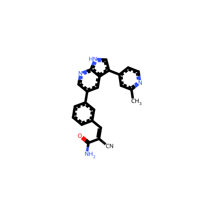 Cc1cc(-c2c[nH]c3ncc(-c4cccc(C=C(C#N)C(N)=O)c4)cc23)ccn1